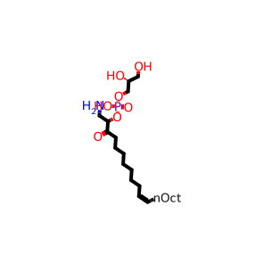 CCCCCCCC/C=C\CCCCCCCC(=O)C(CN)OP(=O)(O)OC[C@H](O)CO